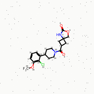 O=C1NC2(CO1)CC(C(=O)N1CCC(c3cccc(OC(F)(F)F)c3Cl)CC1)C2